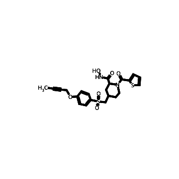 CC#CCOc1ccc(S(=O)(=O)CC2CCN(C(=O)c3cccs3)C(C(=O)NO)C2)cc1